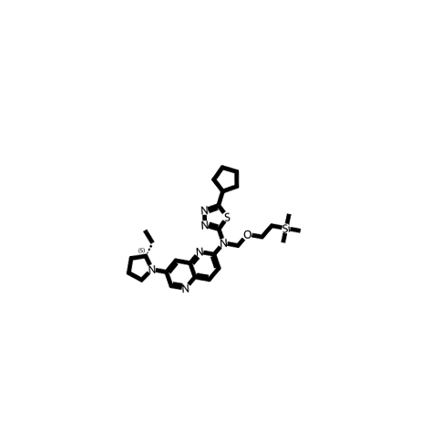 CC[C@H]1CCCN1c1cnc2ccc(N(COCC[Si](C)(C)C)c3nnc(C4CCCC4)s3)nc2c1